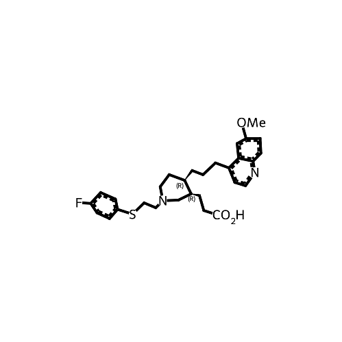 COc1ccc2nccc(CCC[C@@H]3CCN(CCSc4ccc(F)cc4)C[C@@H]3CCC(=O)O)c2c1